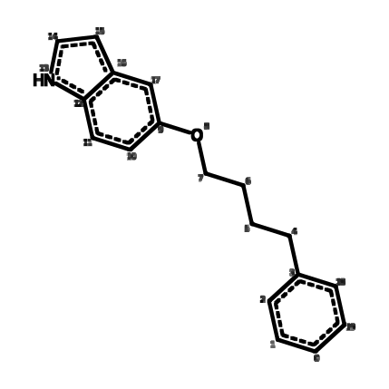 c1ccc(CCCCOc2ccc3[nH]ccc3c2)cc1